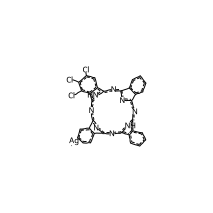 Clc1cc2c3nc4nc(nc5[nH]c(nc6nc(nc([nH]3)c2c(Cl)c1Cl)-c1ccccc1-6)c1ccccc51)-c1ccccc1-4.[Ag]